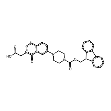 O=C(O)Cn1cnc2ccc(N3CCN(C(=O)OCC4c5ccccc5-c5ccccc54)CC3)cc2c1=O